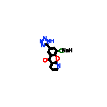 O=c1c2cccnc2oc2c(Cl)cc(-c3nnn[nH]3)cc12.[NaH]